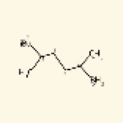 BC(C)CCC(C)C(C)CC